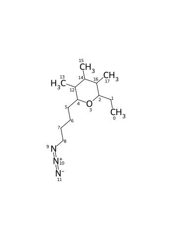 CCC1OC(CCCCN=[N+]=[N-])C(C)C(C)C1C